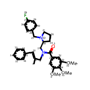 COc1cc(C(=O)N(CC(C)=Cc2ccccc2)CC2CCCN2Cc2ccc(F)cc2)cc(OC)c1OC